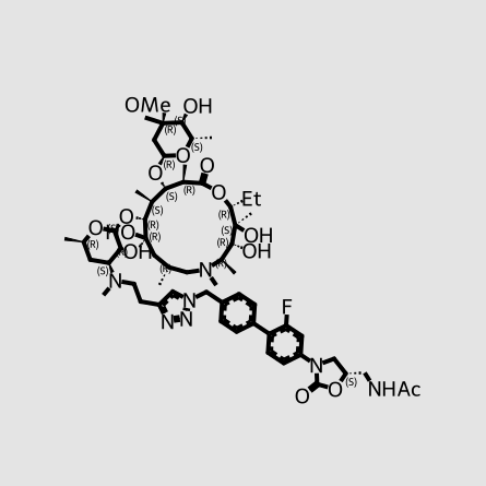 CC[C@H]1OC(=O)[C@H](C)[C@@H](O[C@H]2C[C@@](C)(OC)[C@@H](O)[C@H](C)O2)[C@H](C)[C@@H](O[C@@H]2O[C@H](C)C[C@H](N(C)CCc3cn(Cc4ccc(-c5ccc(N6C[C@H](CNC(C)=O)OC6=O)cc5F)cc4)nn3)[C@H]2O)[C@](C)(O)C[C@@H](C)CN(C)[C@H](C)[C@@H](O)[C@]1(C)O